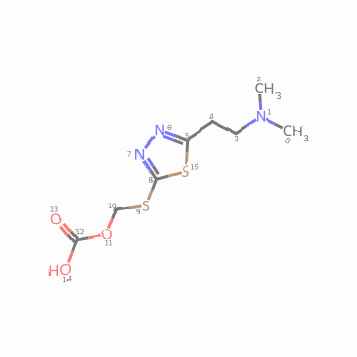 CN(C)CCc1nnc(SCOC(=O)O)s1